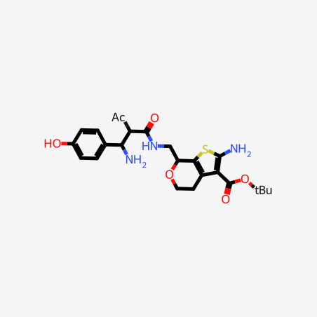 CC(=O)C(C(=O)NCC1OCCc2c1sc(N)c2C(=O)OC(C)(C)C)C(N)c1ccc(O)cc1